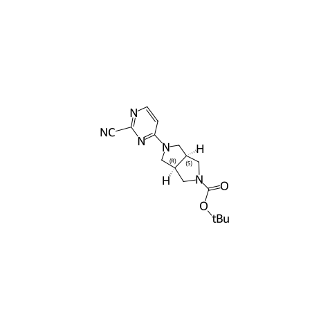 CC(C)(C)OC(=O)N1C[C@@H]2CN(c3ccnc(C#N)n3)C[C@@H]2C1